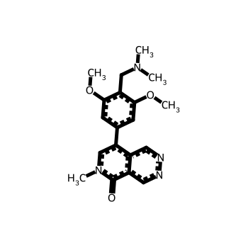 COc1cc(-c2cn(C)c(=O)c3cnncc23)cc(OC)c1CN(C)C